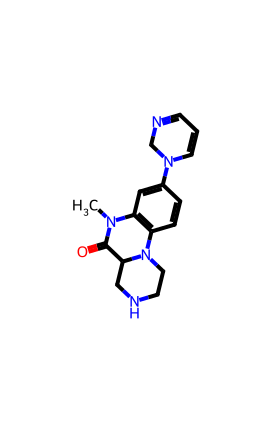 CN1C(=O)C2CNCCN2c2ccc(N3C=CC=NC3)cc21